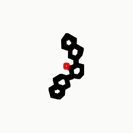 O=C1C(=C2C=Cc3ccccc3C2)CCCC1=C1C=Cc2ccccc2C1